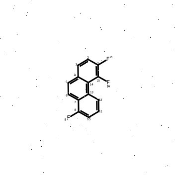 Fc1[c]cc2ccc3c(F)[c]ccc3c2c1F